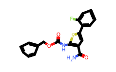 NC(=O)c1cc(-c2ccccc2F)sc1NC(=O)OCc1ccccc1